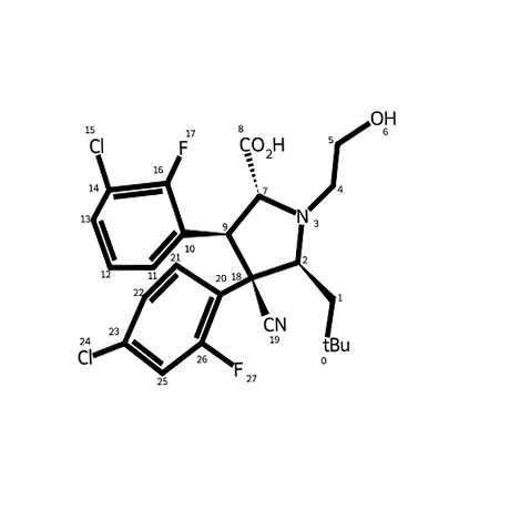 CC(C)(C)C[C@@H]1N(CCO)[C@@H](C(=O)O)[C@H](c2cccc(Cl)c2F)[C@@]1(C#N)c1ccc(Cl)cc1F